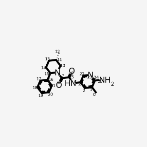 Cc1cc(NC(=O)C(=O)N2C[C@@H](C)CCC2c2ccccc2)cnc1N